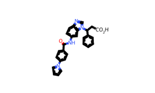 O=C(O)CC(c1ccccc1)n1cnc2ccc(NC(=O)c3ccc(-n4cccc4)cc3)cc21